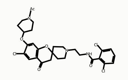 CC(=O)N1CCC(Oc2cc3c(cc2Cl)C(=O)CC2(CCN(CCNC(=O)c4c(Cl)cccc4Cl)CC2)O3)CC1